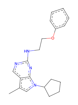 Cc1cn(C2CCCC2)c2nc(NCCOc3ccccc3)ncc12